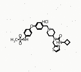 CS(=O)(=O)Nc1ccc(Oc2ccc(CN3CCC(N(Cc4nccs4)C(=O)NC4CCC4)CC3)cc2)cc1.Cl